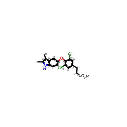 Cc1[nH]c2ccc(Oc3c(Cl)cc(CCC(=O)O)cc3Cl)cc2c1C